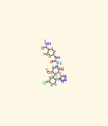 CNC(=O)c1ccc(NC(=O)C(F)n2cc(OC)c(-c3cc(Cl)ccc3-n3cnnn3)cc2=O)cc1F